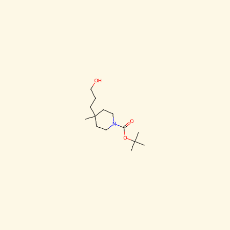 CC1(CCCO)CCN(C(=O)OC(C)(C)C)CC1